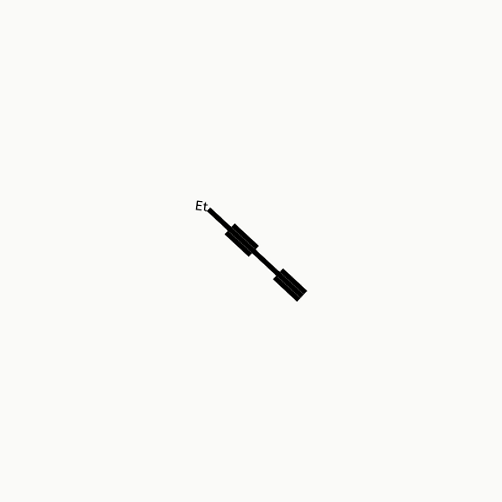 C#CC#CC[CH2]